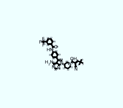 CC(C)(C)/C=C(\C#N)C(O)N1CCC[C@@H](n2nc(-c3ccc(NC(=O)c4cccc(C(F)(F)F)c4)cc3)c3c(N)ncnc32)C1